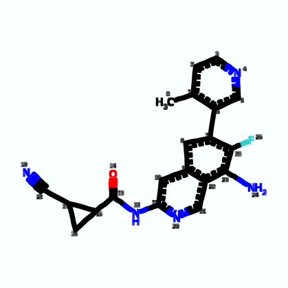 Cc1ccncc1-c1cc2cc(NC(=O)C3CC3C#N)ncc2c(N)c1F